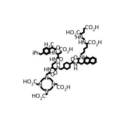 CC(C)Cc1ccc(C(C)C(=O)NC(CC(=O)O)C(=O)NCCC(NC(=O)CN2CCN(CC(=O)O)CCN(CC(=O)O)CCN(CC(=O)O)CC2)C(=O)NCC2CCC(C(=O)NC(Cc3ccc4ccccc4c3)C(=O)NCCCCC(NCNC(CCC(=O)O)C(=O)O)C(=O)O)CC2)cc1